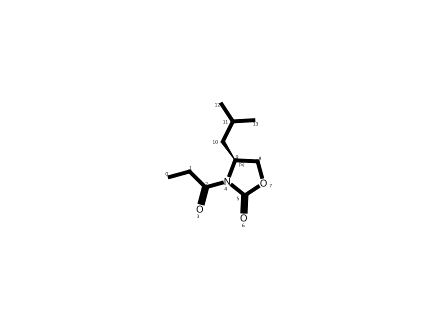 CCC(=O)N1C(=O)OC[C@@H]1CC(C)C